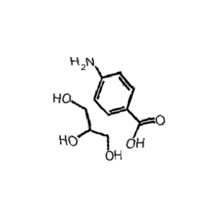 Nc1ccc(C(=O)O)cc1.OCC(O)CO